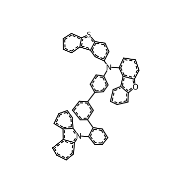 c1cc(-c2ccc(N(c3ccc4sc5ccccc5c4c3)c3cccc4oc5ccccc5c34)cc2)cc(-c2ccccc2-n2c3ccccc3c3ccccc32)c1